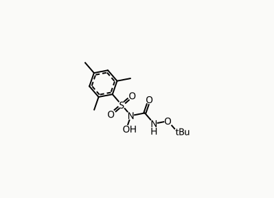 Cc1cc(C)c(S(=O)(=O)N(O)C(=O)NOC(C)(C)C)c(C)c1